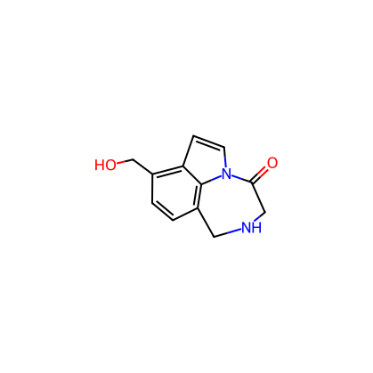 O=C1CNCc2ccc(CO)c3ccn1c23